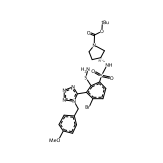 COc1ccc(Cn2nnnc2-c2c(Br)ccc(S(=O)(=O)N[C@@H]3CCN(C(=O)OC(C)(C)C)C3)c2SN)cc1